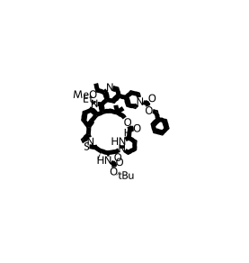 CCn1c(-c2cc(C3=CCN(C(=O)OCc4ccccc4)CC3)cnc2[C@H](C)OC)c2c3cc(ccc31)-c1csc(n1)[C@@H](C)[C@H](NC(=O)OC(C)(C)C)C(=O)N1CCC[C@H](N1)C(=O)OCC(C)(C)C2